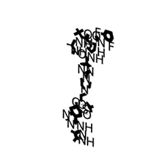 CN[C@@H](C)CN[C@H](C(=O)N1C[C@@H](NC(=O)c2cnc(N3CCN(CCCOc4cc5ncnc(Nc6n[nH]c(C)c6C)c5cc4S(=O)(=O)C(C)(C)C)CC3)nc2)C[C@H]1C(=O)Nc1c(F)cccc1F)C(C)(C)C